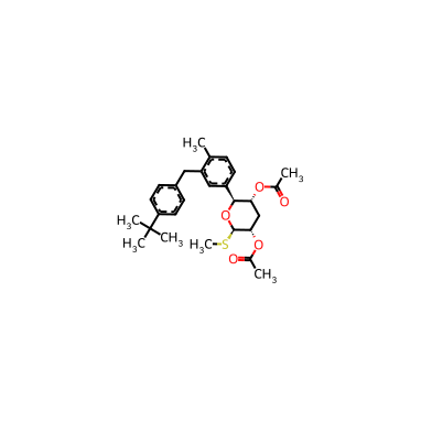 CS[C@H]1O[C@@H](c2ccc(C)c(Cc3ccc(C(C)(C)C)cc3)c2)[C@H](OC(C)=O)C[C@@H]1OC(C)=O